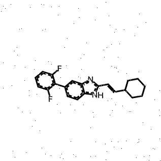 Fc1cccc(F)c1-c1ccc2[nH]c(C=CC3CCCCC3)nc2c1